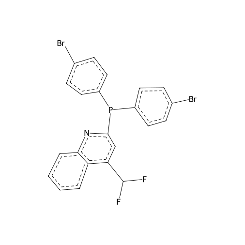 FC(F)c1cc(P(c2ccc(Br)cc2)c2ccc(Br)cc2)nc2ccccc12